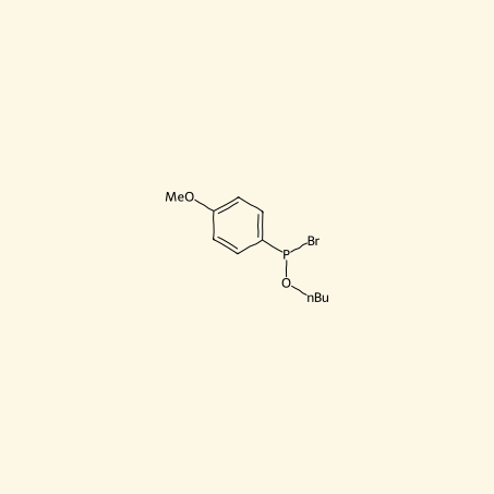 CCCCOP(Br)c1ccc(OC)cc1